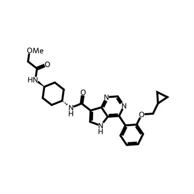 COCC(=O)N[C@H]1CC[C@H](NC(=O)c2c[nH]c3c(-c4ccccc4OCC4CC4)ncnc23)CC1